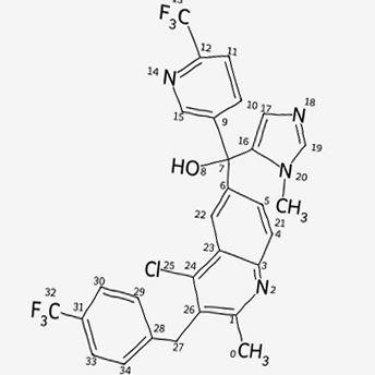 Cc1nc2ccc(C(O)(c3ccc(C(F)(F)F)nc3)c3cncn3C)cc2c(Cl)c1Cc1ccc(C(F)(F)F)cc1